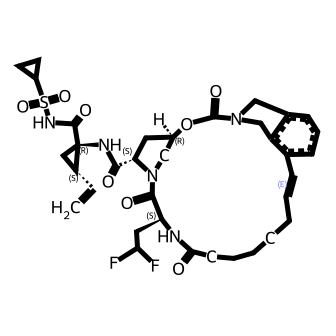 C=C[C@@H]1C[C@]1(NC(=O)[C@@H]1C[C@@H]2CN1C(=O)[C@H](CC(F)F)NC(=O)CCCCC/C=C/c1cccc3c1CN(C3)C(=O)O2)C(=O)NS(=O)(=O)C1CC1